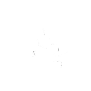 COC1CC(O[Si](C)(C)C(C)(C)C)CN(C(=O)O)C1